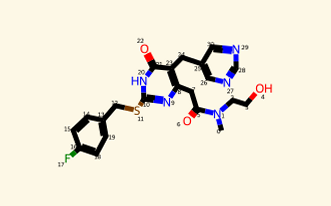 CN(CCO)C(=O)Cc1nc(SCc2ccc(F)cc2)[nH]c(=O)c1Cc1cncnc1